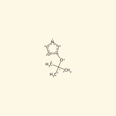 CC(C)(C)Oc1cnco1